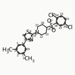 Cc1cc(C)cc(-c2csc(N3CCC(S(=O)(=O)c4cc(Cl)ccc4Cl)CC3)n2)c1